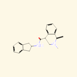 C=C1c2ccccc2C(C(=O)NC2Cc3ccccc3C2)CN1C